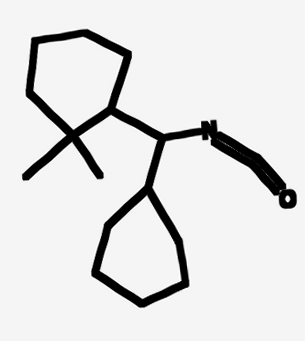 CC1(C)CCCCC1C(N=C=O)C1CCCCC1